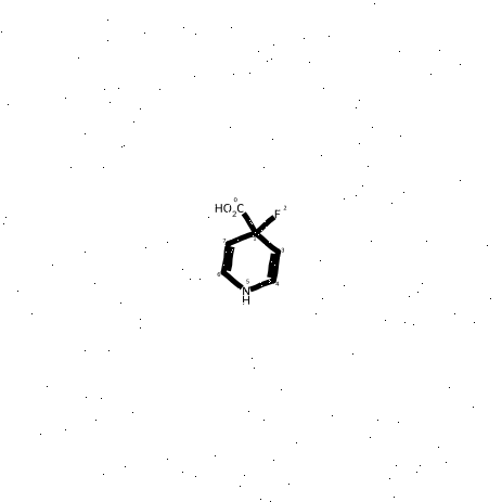 O=C(O)C1(F)C=CNC=C1